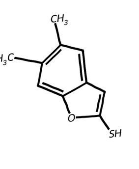 Cc1cc2cc(S)oc2cc1C